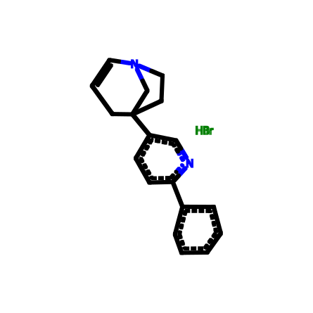 Br.C1=CN2CCC(c3ccc(-c4ccccc4)nc3)(C1)C2